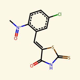 C[N+](=O)c1ccc(Cl)cc1/C=C1\SC(=S)NC1=O